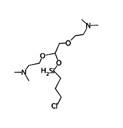 CN(C)CCOCC(OCCN(C)C)O[SiH2]CCCCl